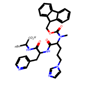 CCCCC(NC(=O)C(Cc1cccnc1)NC(=O)C(CCCn1ccnc1)N(C)C(=O)OCC1c2ccccc2-c2ccccc21)C(=O)O